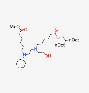 CCCCCCCCC(CCCCCCCC)COC(=O)CCCCCN(CCO)CCN(CCCCCC(=O)OC)C1CCCCC1